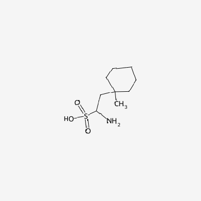 CC1(CC(N)S(=O)(=O)O)CCCCC1